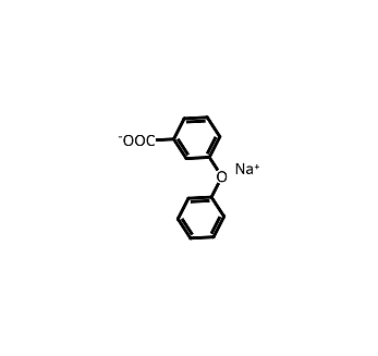 O=C([O-])c1cccc(Oc2ccccc2)c1.[Na+]